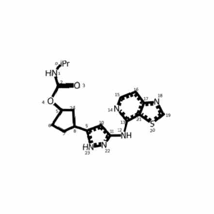 CC(C)NC(=O)OC1CCC(c2cc(Nc3nccc4ncsc34)n[nH]2)C1